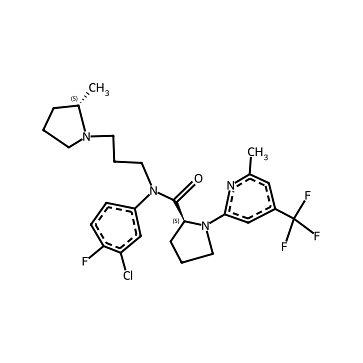 Cc1cc(C(F)(F)F)cc(N2CCC[C@H]2C(=O)N(CCCN2CCC[C@@H]2C)c2ccc(F)c(Cl)c2)n1